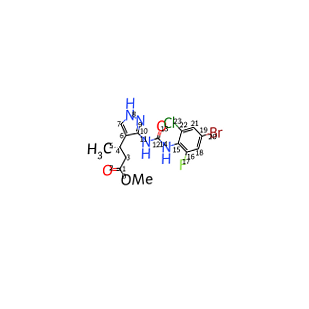 COC(=O)C[C@H](C)c1c[nH]nc1NC(=O)Nc1c(F)cc(Br)cc1Cl